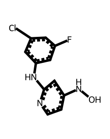 ONc1ccnc(Nc2cc(F)cc(Cl)c2)c1